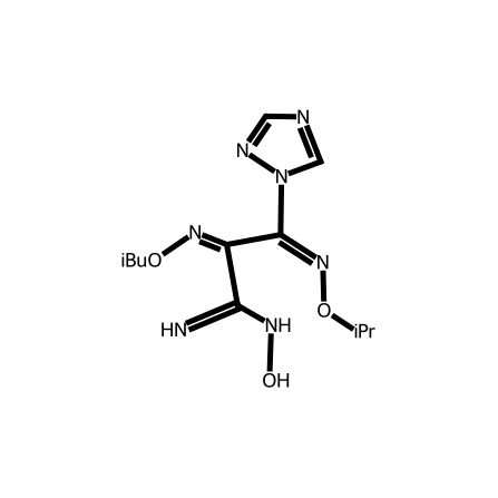 CC(C)CON=C(C(=N)NO)C(=NOC(C)C)n1cncn1